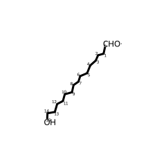 O=[C]CCCCCCCCCCCCCCO